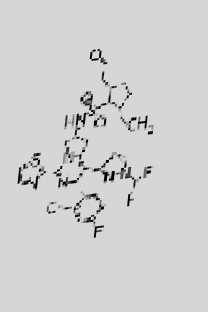 CCC1CCC(CC=O)[C@@H]1S(=O)(=O)N[C@H]1CC2=C(c3ccn(C(F)F)n3)[C@H](c3ccc(F)cc3Cl)N=C(c3nccs3)N2C1